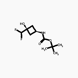 CC(C)(C)OC(=O)N[C@H]1C[C@](O)(C(F)F)C1